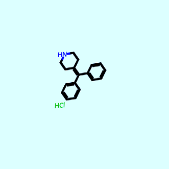 Cl.c1ccc(C(=C2CCNCC2)c2ccccc2)cc1